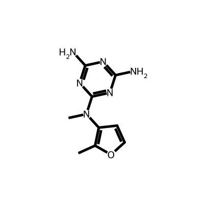 Cc1occc1N(C)c1nc(N)nc(N)n1